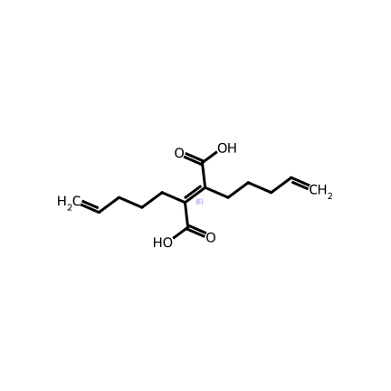 C=CCCC/C(C(=O)O)=C(/CCCC=C)C(=O)O